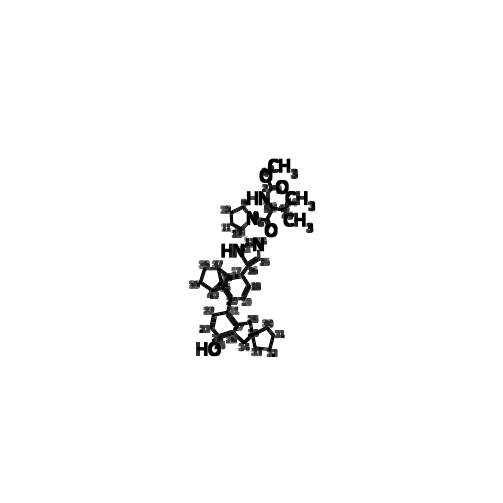 COC(=O)N[C@H](C(=O)N1CCC[C@H]1c1ncc(-c2ccc(-c3ccc(O)c4c3CC3(CCCC3)C4)c3c2C2CCC3C2)[nH]1)C(C)C